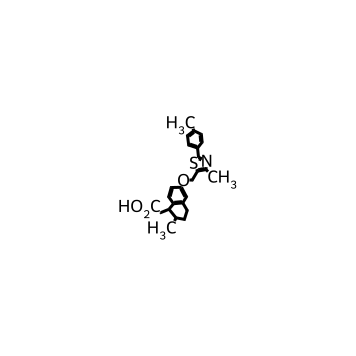 Cc1ccc(-c2nc(C)c(COc3ccc4c(c3)CCC(C)C4CC(=O)O)s2)cc1